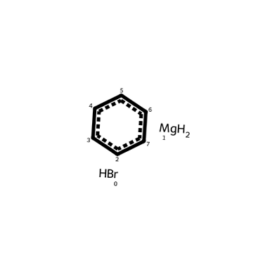 Br.[MgH2].c1ccccc1